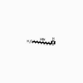 Br.CCCCCCCCCCCCCCC1CNCCO1